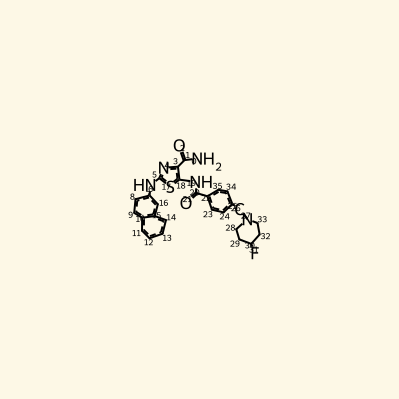 NC(=O)c1nc(Nc2ccc3ccccc3c2)sc1NC(=O)c1ccc(CN2CCC(F)CC2)cc1